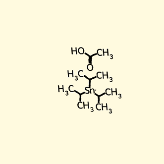 CC(=O)O.C[CH](C)[Sn]([CH](C)C)[CH](C)C